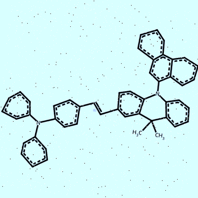 CC1(C)c2ccccc2N(c2cc3ccccc3c3ccccc23)c2ccc(/C=C/c3ccc(N(c4ccccc4)c4ccccc4)cc3)cc21